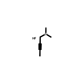 CC#CC[Si](C)C.F